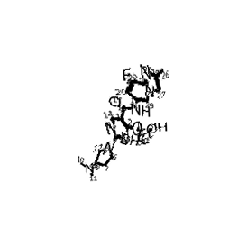 CCOc1nc(N2CC[C@H](N(C)C)C2)ncc1C(=O)Nc1cc(F)c2nc(C)cn2c1.O=CO